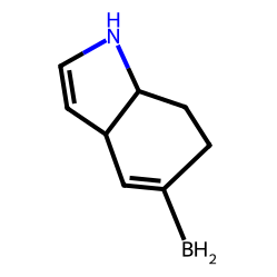 BC1=CC2C=CNC2CC1